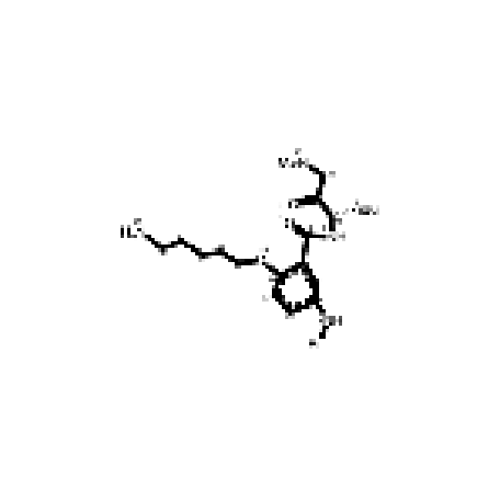 CCCC[C@H](NC(=O)c1cc(NCC)ccc1OCCCCCN)C(=O)CNC